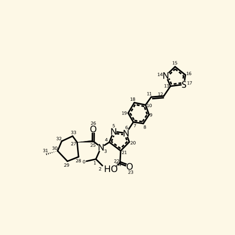 CC(C)N(c1nn(-c2ccc(/C=C/c3nccs3)cc2)cc1C(=O)O)C(=O)[C@H]1CC[C@H](C)CC1